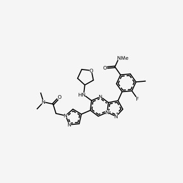 CNC(=O)c1cc(C)c(F)c(-c2cnn3cc(-c4cnn(CC(=O)N(C)C)c4)c(NC4CCOC4)nc23)c1